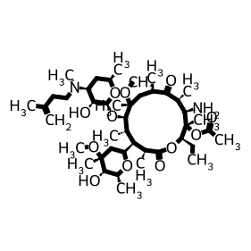 C=C(C)CCN(C)[C@H]1C[C@@H](C)O[C@@H](O[C@@H]2[C@@H](C)[C@H](C3C[C@@](C)(OC)[C@@H](O)[C@H](C)O3)[C@@H](C)C(=O)O[C@H](CC)[C@@](C)(OC(C)=O)[C@H](N)[C@@H](C)C(=O)[C@H](C)C[C@@]2(C)OC)[C@@H]1O